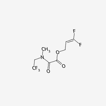 CN(CC(F)(F)F)C(=O)C(=O)OCC=C(F)F